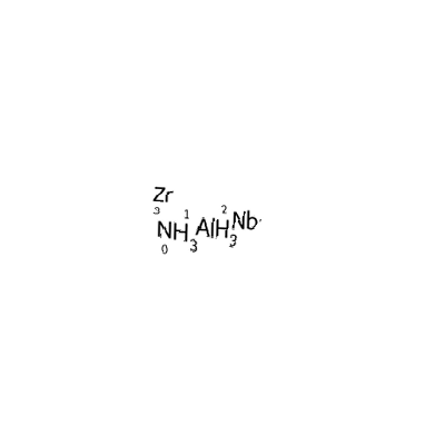 N.[AlH3].[Nb].[Zr]